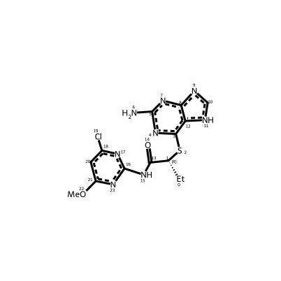 CC[C@@H](Sc1nc(N)nc2nc[nH]c12)C(=O)Nc1nc(Cl)cc(OC)n1